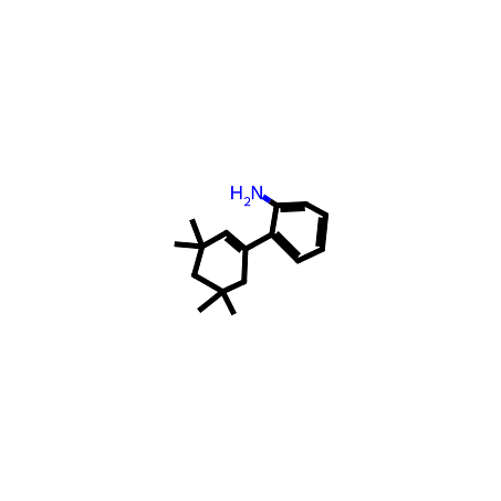 CC1(C)C=C(c2ccccc2N)CC(C)(C)C1